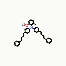 CCOc1cccc(C)c1N(c1ccc(/C=C/C=C/c2ccccc2)cc1)c1ccc(/C=C/C=C/c2ccccc2)cc1